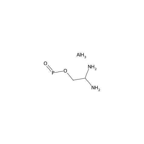 NC(N)COP=O.[AlH3]